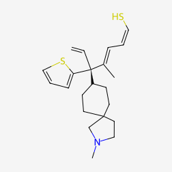 C=C[C@](/C(C)=C/C=C\S)(c1cccs1)C1CCC2(CC1)CCN(C)C2